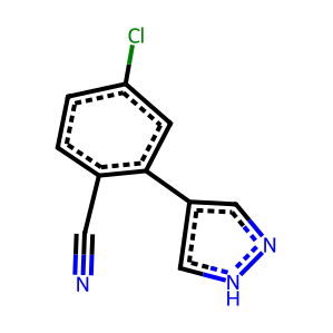 N#Cc1ccc(Cl)cc1-c1cn[nH]c1